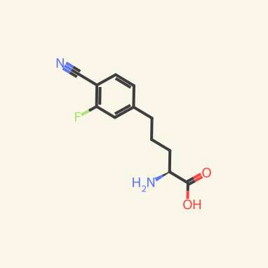 N#Cc1ccc(CCC[C@H](N)C(=O)O)cc1F